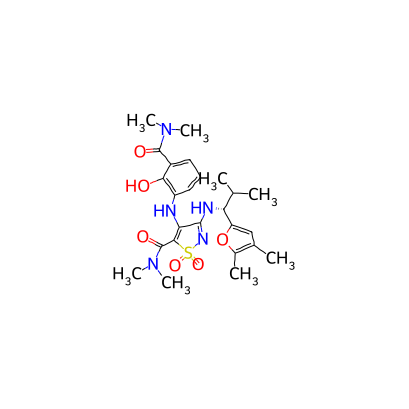 Cc1cc([C@H](NC2=NS(=O)(=O)C(C(=O)N(C)C)=C2Nc2cccc(C(=O)N(C)C)c2O)C(C)C)oc1C